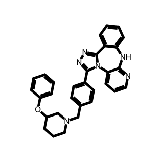 c1ccc(OC2CCCN(Cc3ccc(-c4nnc5n4-c4cccnc4Nc4ccccc4-5)cc3)C2)cc1